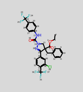 CCOC(=O)C1(Cc2ccccc2)CN(C(=O)Nc2ccc(C(F)(F)F)cc2)N=C1c1ccc(C(F)(F)F)c(Cl)c1